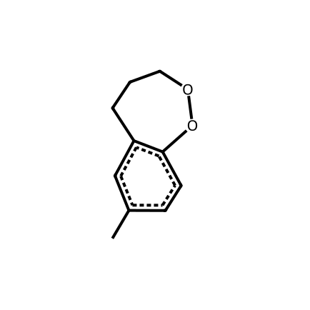 Cc1ccc2c(c1)CCCOO2